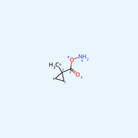 CC1(C(=O)ON)CC1